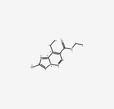 CCOC(=O)c1cnn2cc(Cl)nc2c1CC